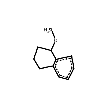 [SiH3]OC1CCCc2ccccc21